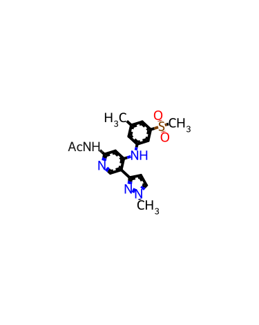 CC(=O)Nc1cc(Nc2cc(C)cc(S(C)(=O)=O)c2)c(-c2ccn(C)n2)cn1